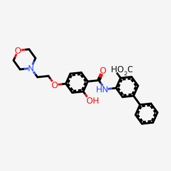 O=C(Nc1cc(-c2ccccc2)ccc1C(=O)O)c1ccc(OCCN2CCOCC2)cc1O